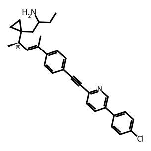 CCC(N)CC1([C@H](C)C=C(C)c2ccc(C#Cc3ccc(-c4ccc(Cl)cc4)cn3)cc2)CC1